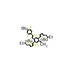 C=Cc1c(S)c(-c2ccc(CC(CC)CCCC)s2)c2cc(-c3cc(F)c(C(C)(C)C)cc3F)sc2c1-c1ccc(CC(CC)CCCC)s1